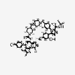 Cc1sc2c(c1C)C(c1ccc(Cl)cc1)=N[C@@H](CC(=O)N1CCC(CN3CCN(Cc4ccc(-n5c(C(=O)NC(C)C)nnc5-c5ccc(O)cc5O)cc4)CC3)CC1)c1nnc(C)n1-2